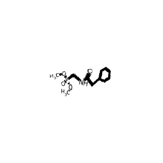 COP(=O)(CNC(=O)Cc1ccccc1)OC